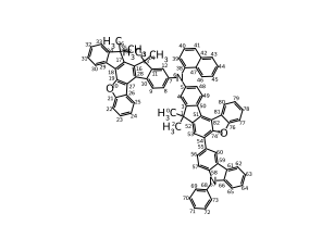 CC1(C)c2cc(N(c3ccc4c(c3)C(C)(C)c3c5c(c6oc7ccccc7c6c3-4)-c3ccccc3C5(C)C)c3cccc4ccccc34)ccc2-c2c1cc(-c1ccc3c(c1)c1ccccc1n3-c1ccccc1)c1oc3ccccc3c21